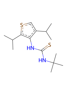 CC(C)c1csc(C(C)C)c1NC(=S)NC(C)(C)C